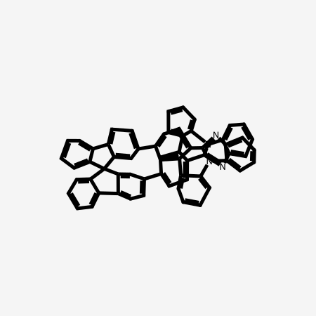 c1ccc2c(c1)-c1ccc(-c3ccc4c(c3)c3ccccc3n3c5ccccc5nc43)cc1C21c2ccccc2-c2ccc(-c3ccc4c(c3)c3ccccc3n3c5ccccc5nc43)cc21